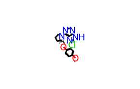 COc1ccc(OC[C@H]2CCCN2c2ncnc3[nH]cnc23)c(Cl)c1